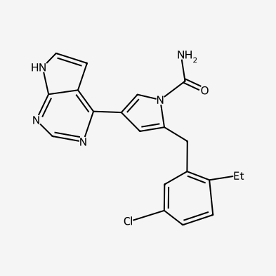 CCc1ccc(Cl)cc1Cc1cc(-c2ncnc3[nH]ccc23)cn1C(N)=O